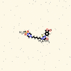 CCS(=O)(=O)N1CCN(CCCCCCCN2C(=S)N(c3ccc4c(c3)COC4=O)C(=O)C2(C)C)CC1